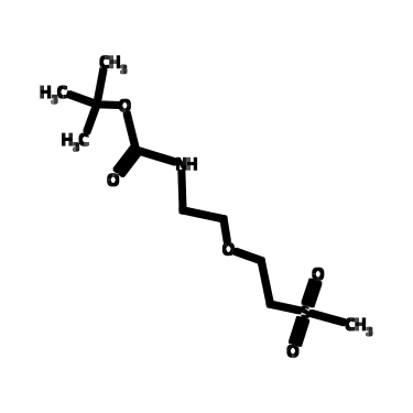 CC(C)(C)OC(=O)NCCOCCS(C)(=O)=O